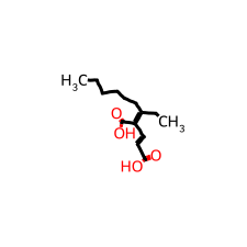 CCCCCCC(CC)=C(C=CC(=O)O)C(=O)O